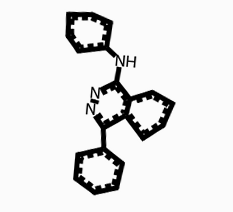 c1ccc(Nc2nnc(-c3ccccc3)c3ccccc23)cc1